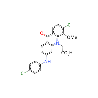 COc1c(Cl)ccc2c(=O)c3ccc(Nc4ccc(Cl)cc4)cc3n(CC(=O)O)c12